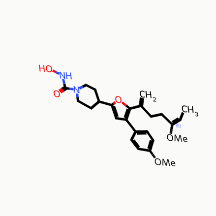 C=C(CC/C(=C\C)OC)c1oc(C2CCN(C(=O)NO)CC2)cc1-c1ccc(OC)cc1